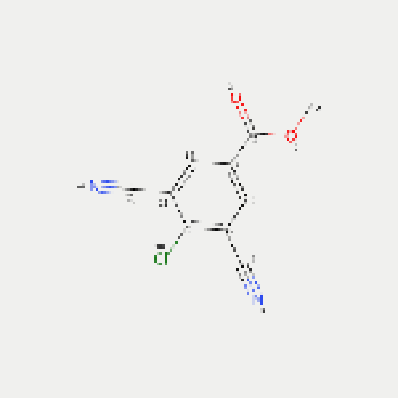 COC(=O)c1cc(C#N)c(Cl)c(C#N)c1